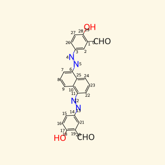 O=Cc1cc(N=Nc2cccc3c(N=Nc4ccc(O)c(C=O)c4)cccc23)ccc1O